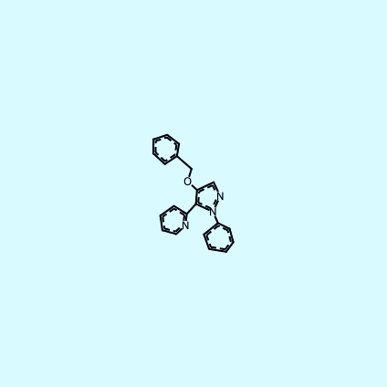 c1ccc(COc2cnn(-c3ccccc3)c2-c2ccccn2)cc1